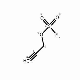 C#CCOS(=O)(=O)F